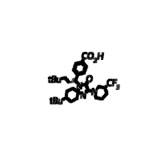 CC(C)(C)CC[C@H](c1ccc(C(=O)O)cc1)N1C(=O)C(N2CCCC(C(F)(F)F)C2)=NC12CCC(C(C)(C)C)CC2